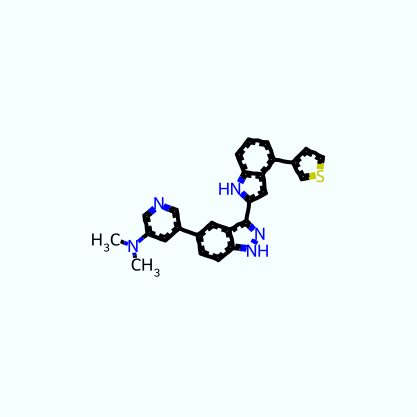 CN(C)c1cncc(-c2ccc3[nH]nc(-c4cc5c(-c6ccsc6)cccc5[nH]4)c3c2)c1